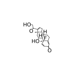 C[C@]12C=CC(=O)C=C1CC[C@H]1[C@@H]3CC=C(C(=O)CO)[C@@]3(C)CC(O)[C@@]12F